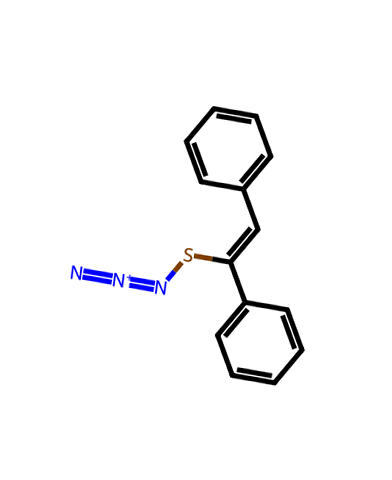 [N-]=[N+]=NSC(=Cc1ccccc1)c1ccccc1